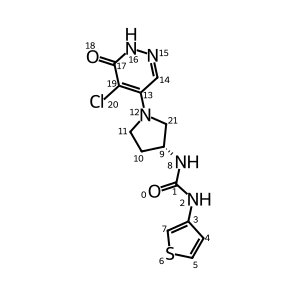 O=C(Nc1ccsc1)N[C@@H]1CCN(c2cn[nH]c(=O)c2Cl)C1